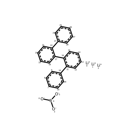 [Li+].[Li+].[Li+].[O-]B([O-])[O-].c1ccc(-c2ccccc2-c2ccccc2-c2ccccc2)cc1